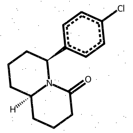 O=C1CCC[C@H]2CCC[C@@H](c3ccc(Cl)cc3)N12